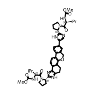 COC(=O)N[C@H](C(=O)N1CCC[C@H]1c1ncc(-c2ccc3c(c2)COc2c-3ccc3c2CCc2[nH]c([C@@H]4CCCN4C(=O)[C@@H](NC(=O)OC)C(C)C)nc2-3)[nH]1)C(C)C